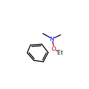 CCON(C)C.c1ccccc1